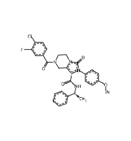 CC(C)Oc1ccc(-n2c(C(=O)N[C@@H](C)c3ccccc3)c3n(c2=O)CCN(C(=O)c2ccc(Cl)c(Cl)c2)C3)cc1